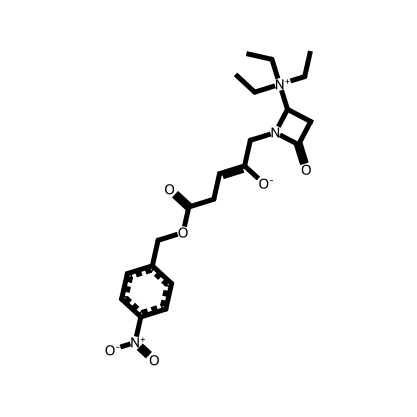 CC[N+](CC)(CC)C1CC(=O)N1CC([O-])=CCC(=O)OCc1ccc([N+](=O)[O-])cc1